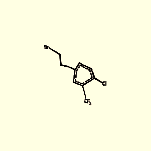 FC(F)(F)c1cc(CCBr)ccc1Cl